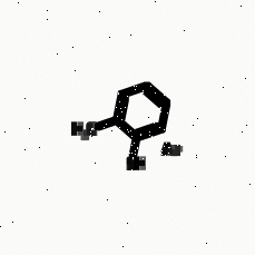 Cc1ccccc1S.[Au]